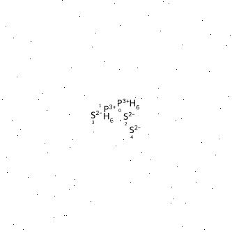 [PH6+3].[PH6+3].[S-2].[S-2].[S-2]